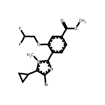 COC(=O)c1ccc(-c2nc(Br)c(C3CC3)n2C)c(OCC(F)F)c1